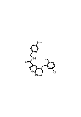 COc1ccc(CNC(=O)c2cnc3c(c2)N(Cc2cc(Cl)ccc2Cl)CCN3)cc1